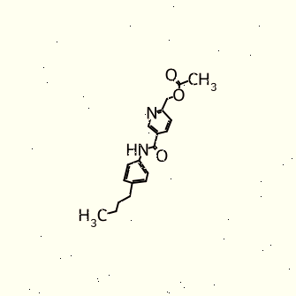 CCCCc1ccc(NC(=O)c2ccc(COC(C)=O)nc2)cc1